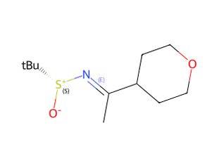 C/C(=N\[S@+]([O-])C(C)(C)C)C1CCOCC1